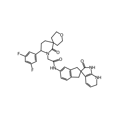 O=C(CN1C(=O)C2(CCOCC2)CCC1c1cc(F)cc(F)c1)Nc1ccc2c(c1)CC1(C2)C(=O)NC2=C1C=CCN2